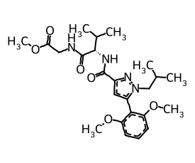 COC(=O)CNC(=O)[C@@H](NC(=O)c1cc(-c2c(OC)cccc2OC)n(CC(C)C)n1)C(C)C